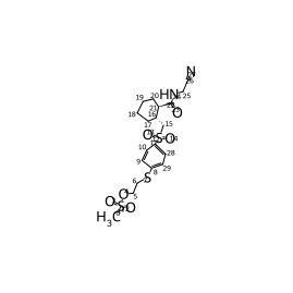 CS(=O)(=O)OCCSc1ccc(S(=O)(=O)C[C@@H]2CCCC[C@H]2C(=O)NCC#N)cc1